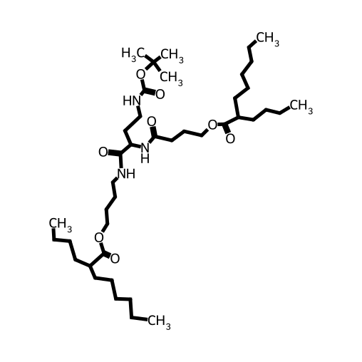 CCCCCCC(CCCC)C(=O)OCCCCNC(=O)C(CCNC(=O)OC(C)(C)C)NC(=O)CCCOC(=O)C(CCCC)CCCCCC